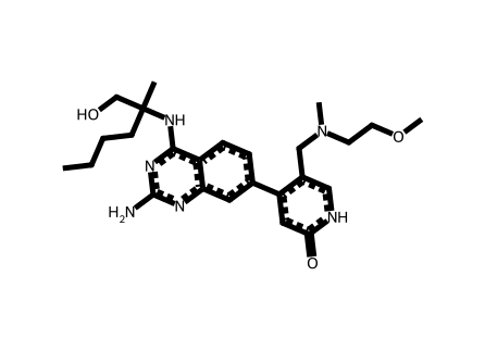 CCCCC(C)(CO)Nc1nc(N)nc2cc(-c3cc(=O)[nH]cc3CN(C)CCOC)ccc12